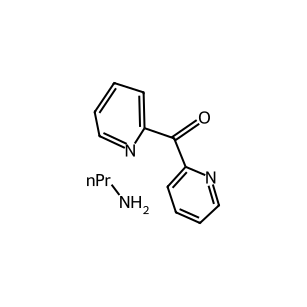 CCCN.O=C(c1ccccn1)c1ccccn1